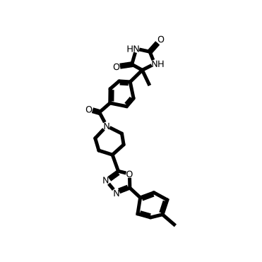 Cc1ccc(-c2nnc(C3CCN(C(=O)c4ccc(C5(C)NC(=O)NC5=O)cc4)CC3)o2)cc1